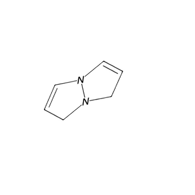 C1=CN2C=CCN2C1